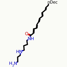 CCCCCCCCCCCC=CC=CC=CC=CC=CC(=O)NCCCCNCCCN